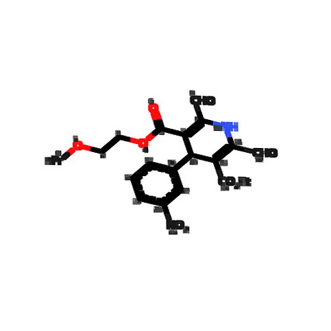 CCCOCCOC(=O)C1=C(C=O)NC(C=O)=C(C(=O)OCC)C1c1cccc([N+](=O)[O-])c1